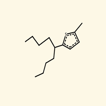 CCCCC(CCCC)c1ccc(C)s1